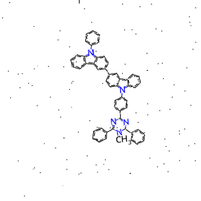 CN1C(c2ccccc2)=NC(c2ccc(-n3c4ccccc4c4cc(-c5ccc6c(c5)c5ccccc5n6-c5ccccc5)ccc43)cc2)=NC1c1ccccc1